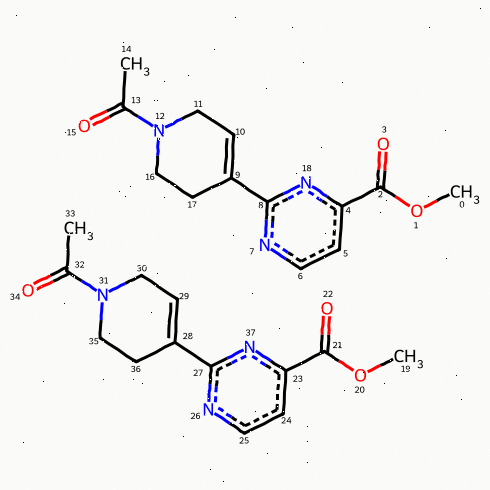 COC(=O)c1ccnc(C2=CCN(C(C)=O)CC2)n1.COC(=O)c1ccnc(C2=CCN(C(C)=O)CC2)n1